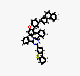 c1ccc(-c2nc(-c3ccc4c(c3)sc3ccccc34)nc(-c3ccccc3-c3cccc4oc5ccc(-c6ccc7c(ccc8ccccc87)c6)cc5c34)n2)cc1